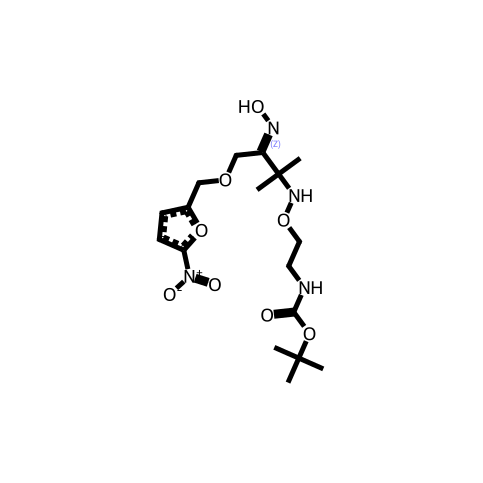 CC(C)(C)OC(=O)NCCONC(C)(C)/C(COCc1ccc([N+](=O)[O-])o1)=N/O